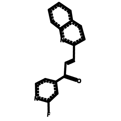 O=C(C=Cc1ccc2ccccc2n1)c1ccnc(F)c1